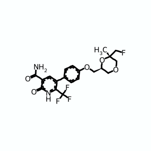 C[C@@]1(CF)COC[C@@H](COc2ccc(-c3cc(C(N)=O)c(=O)[nH]c3C(F)(F)F)cc2)O1